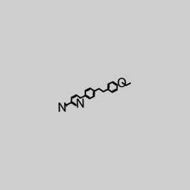 CCOc1ccc(CCc2ccc(-c3ccc(C#N)cn3)cc2)cc1